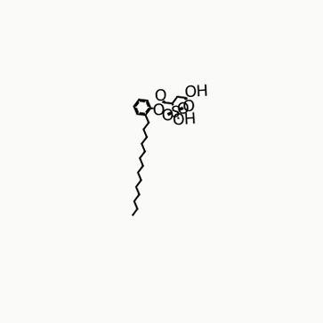 CCCCCCCCCCCCCCc1ccccc1OC(=O)C(CC(=O)O)S(=O)(=O)O